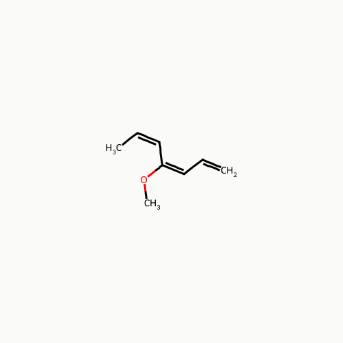 C=C/C=C(\C=C/C)OC